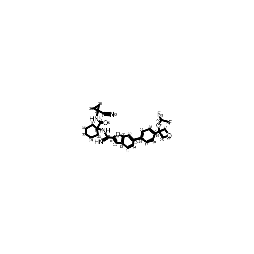 N#CC1(NC(=O)C2(NC(=N)c3cc4ccc(-c5ccc(C6(OC(F)F)COC6)cc5)cc4o3)CCCCC2)CC1